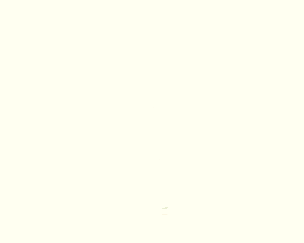 CCCCCCCC1CCC(C2CCC(C3CCC(CCF)CC3)CC2)CC1